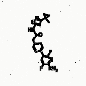 CC1(c2cc(NC(=O)Cc3ccc(-c4cc(F)c(N)nc4F)cc3)on2)CC1